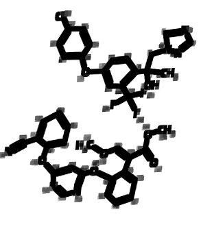 CC(O)(Cn1cncn1)c1ccc(Oc2ccc(Cl)cc2)cc1C(F)(F)F.CO/C=C(/C(=O)OC)c1ccccc1Oc1cc(Oc2ccccc2C#N)ncn1